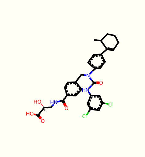 CC1CCCC=C1c1ccc(N(Cc2ccc(C(=O)NC[C@@H](O)C(=O)O)cc2)C(=O)Nc2cc(Cl)cc(Cl)c2)cc1